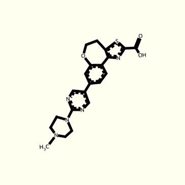 CN1CCN(c2ncc(-c3ccc4c(c3)OCCc3sc(C(=O)O)nc3-4)cn2)CC1